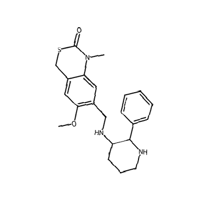 COc1cc2c(cc1CNC1CCCNC1c1ccccc1)N(C)C(=O)SC2